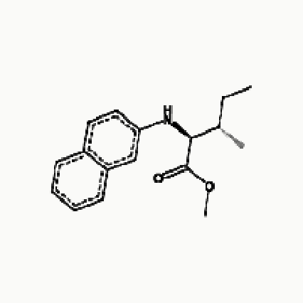 CC[C@H](C)[C@H](Nc1ccc2ccccc2c1)C(=O)OC